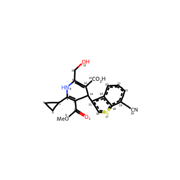 COC(=O)C1=C(C2CC2)NC(CO)=C(C(=O)O)C1c1csc2c(C#N)cccc12